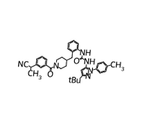 Cc1ccc(-n2nc(C(C)(C)C)cc2NC(=O)Nc2ccccc2CC2CCN(C(=O)c3cccc(C(C)C#N)c3)CC2)cc1